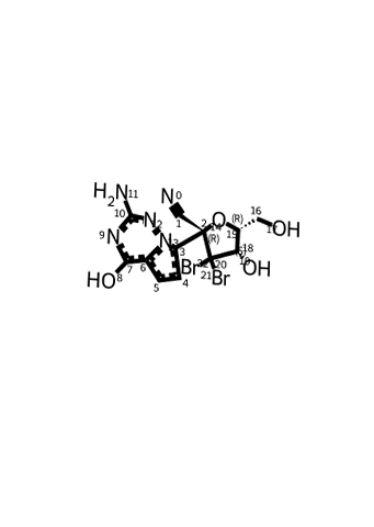 N#C[C@@]1(c2ccc3c(O)nc(N)nn23)O[C@H](CO)[C@H](O)C1(Br)Br